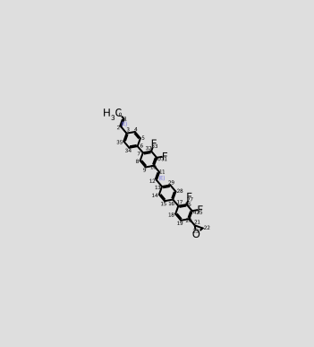 C/C=C/c1ccc(-c2ccc(/C=C/c3ccc(-c4ccc(C5CO5)c(F)c4F)cc3)c(F)c2F)cc1